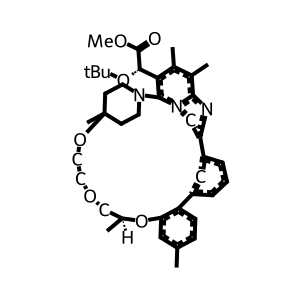 COC(=O)[C@@H](OC(C)(C)C)c1c(C)c(C)c2nc3cn2c1N1CCC(C)(CC1)OCCOC[C@H](C)Oc1cc(C)ccc1-c1cccc-3c1